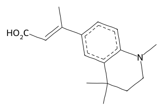 CC(=CC(=O)O)c1ccc2c(c1)C(C)(C)CCN2C